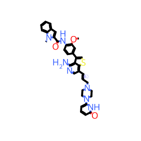 COc1cc(-c2csc3c(/C=C/CN4CCN(c5cccc(=O)[nH]5)CC4)cnc(N)c23)ccc1NC(=O)c1cc2ccccc2n1C